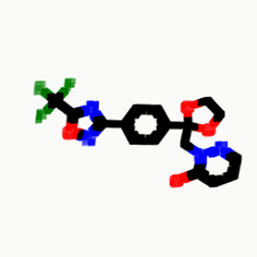 O=c1cccnn1CC1(c2ccc(-c3noc(C(F)(F)F)n3)cc2)OCCO1